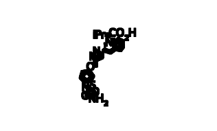 CC(C)C(NC[C@H](Cc1ccccc1)n1cc(COc2ccc3nc(S(N)(=O)=O)sc3c2)nn1)C(=O)O